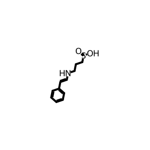 O=S(O)CCCNC=Cc1ccccc1